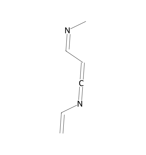 C=CN=C=C/C=N\C